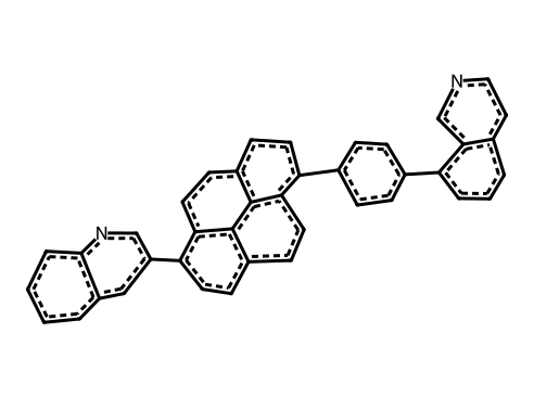 c1ccc2ncc(-c3ccc4ccc5c(-c6ccc(-c7cccc8ccncc78)cc6)ccc6ccc3c4c65)cc2c1